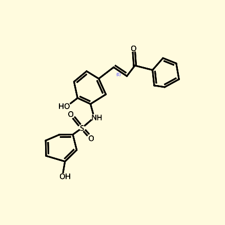 O=C(/C=C/c1ccc(O)c(NS(=O)(=O)c2cccc(O)c2)c1)c1ccccc1